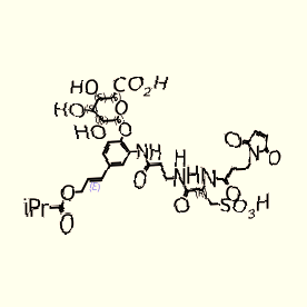 CC(C)C(=O)OC/C=C/c1ccc(O[C@@H]2O[C@H](C(=O)O)[C@@H](O)[C@H](O)[C@H]2O)c(NC(=O)CCNC(=O)[C@H](CS(=O)(=O)O)NC(=O)CCN2C(=O)C=CC2=O)c1